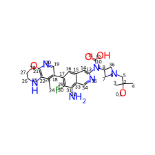 COC(C)(C)CN1CC(N(C(=O)O)c2cc3cc(-c4cnc5c(c4C)NCCO5)c(F)c(N)c3cn2)C1